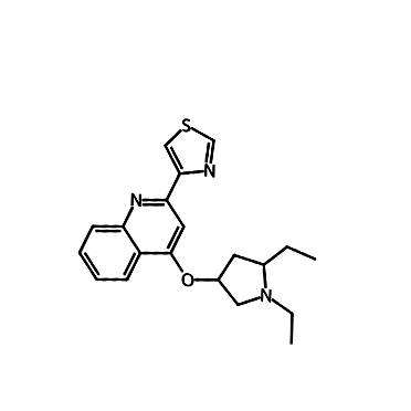 CCC1CC(Oc2cc(-c3cscn3)nc3ccccc23)CN1CC